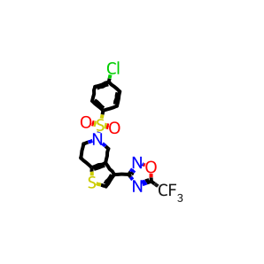 O=S(=O)(c1ccc(Cl)cc1)N1CCc2scc(-c3noc(C(F)(F)F)n3)c2C1